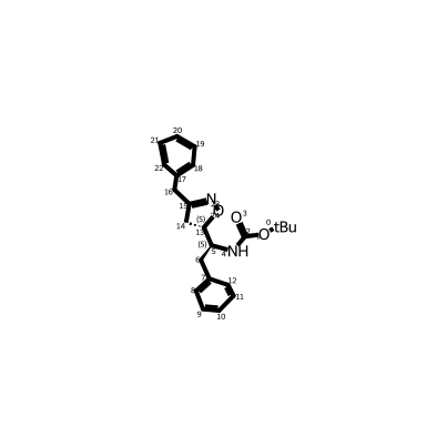 CC(C)(C)OC(=O)N[C@@H](Cc1ccccc1)[C@@H]1CC(Cc2ccccc2)=NO1